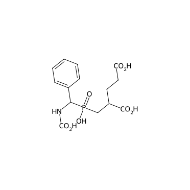 O=C(O)CCC(CP(=O)(O)C(NC(=O)O)c1ccccc1)C(=O)O